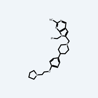 CC(C)Cn1c(CN2CCC(c3ccc(OCCN4CCCC4)cc3)CC2)cc2cnc(C#N)nc21